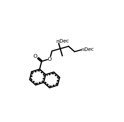 CCCCCCCCCCCCC(C)(CCCCCCCCCC)COC(=O)c1cccc2ccccc12